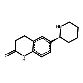 O=C1CCc2cc([C@@H]3CCCCN3)ccc2N1